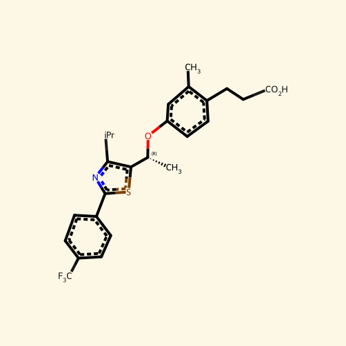 Cc1cc(O[C@H](C)c2sc(-c3ccc(C(F)(F)F)cc3)nc2C(C)C)ccc1CCC(=O)O